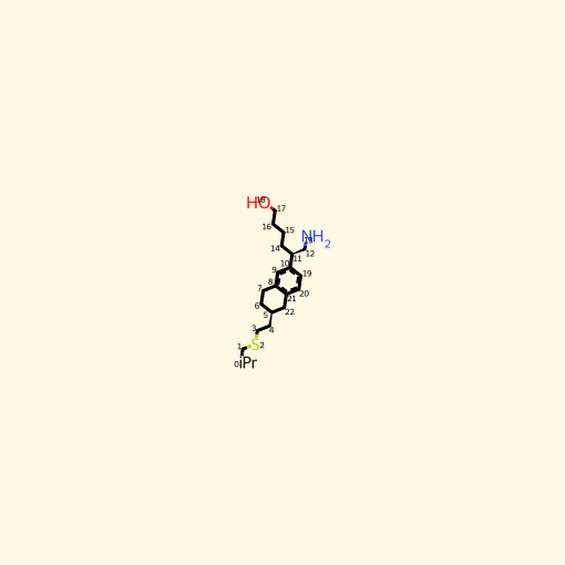 CC(C)CSCC[C@H]1CCc2cc([C@H](CN)CCCCO)ccc2C1